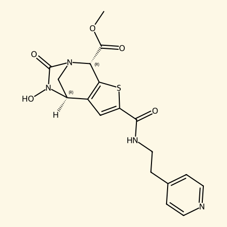 COC(=O)[C@@H]1c2sc(C(=O)NCCc3ccncc3)cc2[C@@H]2CN1C(=O)N2O